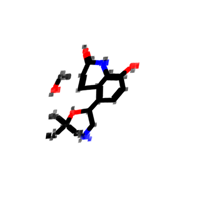 CC(C)(C)[Si](C)(C)OC(CN)c1ccc(O)c2[nH]c(=O)ccc12.O=CO